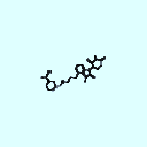 Cn1c(=O)n(C2CCC(=O)NC2=O)c2cccc(CCCOC[C@H]3CN(C(=O)O)CCO3)c21